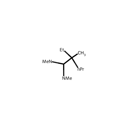 CCCC(C)(CC)C(NC)NC